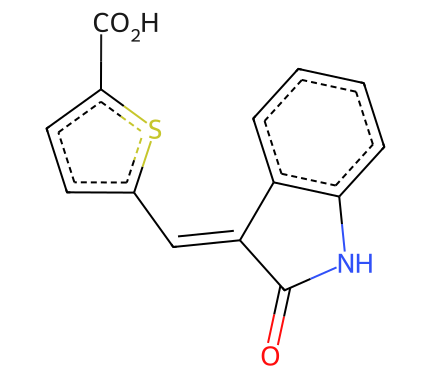 O=C1Nc2ccccc2C1=Cc1ccc(C(=O)O)s1